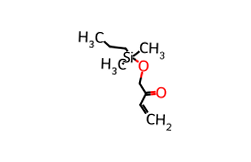 C=CC(=O)CO[Si](C)(C)CCC